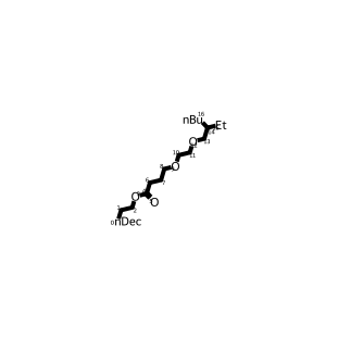 CCCCCCCCCCCCOC(=O)CCCOCCOCC(CC)CCCC